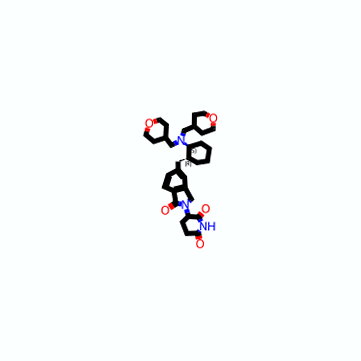 O=C1CCC(N2Cc3cc(C[C@H]4CCCC[C@@H]4N(CC4CCOCC4)CC4CCOCC4)ccc3C2=O)C(=O)N1